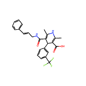 CC1=C(C(=O)O)C(c2cccc(C(F)(F)F)c2)C(C(=O)NC/C=C/c2ccccc2)=C(C)N1